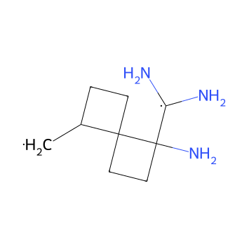 [CH2]C1CCC12CCC2(N)[C](N)N